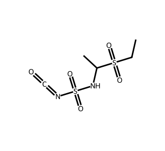 CCS(=O)(=O)C(C)NS(=O)(=O)N=C=O